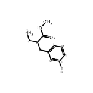 COC(=O)C(CN)Cc1cccc(F)c1